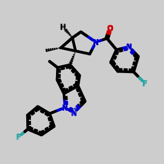 Cc1cc2c(cnn2-c2ccc(F)cc2)cc1[C@@]12CN(C(=O)c3ccc(F)cn3)C[C@@H]1[C@H]2C